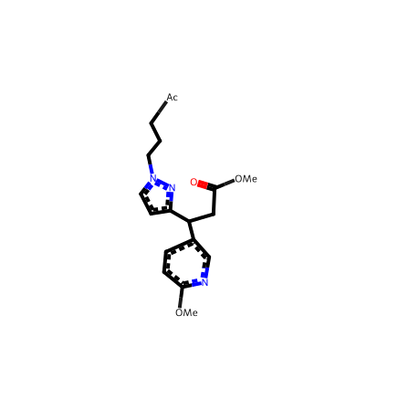 COC(=O)CC(c1ccc(OC)nc1)c1ccn(CCCC(C)=O)n1